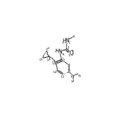 CNC(=O)Nc1cc(C(C)C)ccc1C1CC1